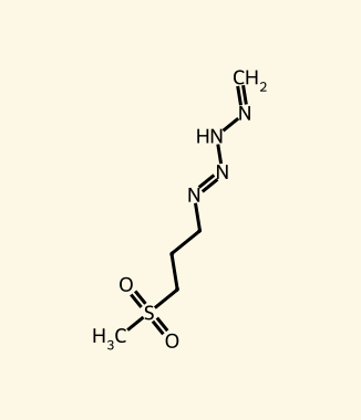 C=NNN=NCCCS(C)(=O)=O